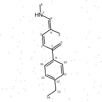 C=C(/C=C\C(C)=C/NC)c1ccc(CC)cc1